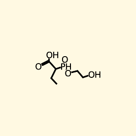 CCC(C(=O)O)[PH](=O)OCCO